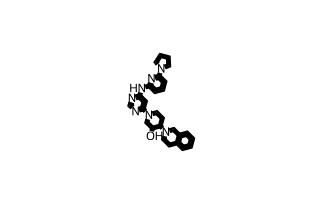 OC1CN(c2cc(Nc3cccc(N4CCCC4)n3)ncn2)CCC1N1CCc2ccccc2C1